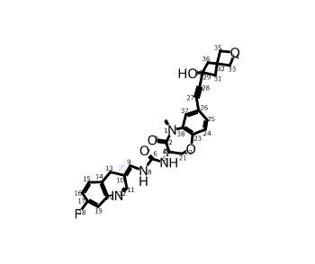 CN1C(=O)[C@@H](NC(=O)N/C=C(\C=N)Cc2ccc(F)cc2)COc2ccc(C#CC3(O)CC4(COC4)C3)cc21